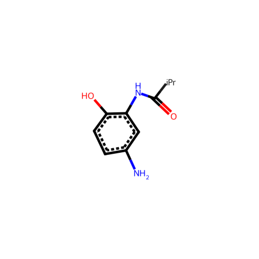 CC(C)C(=O)Nc1cc(N)ccc1O